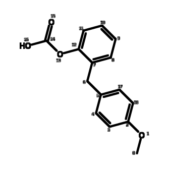 COc1ccc(Cc2ccccc2OC(=O)O)cc1